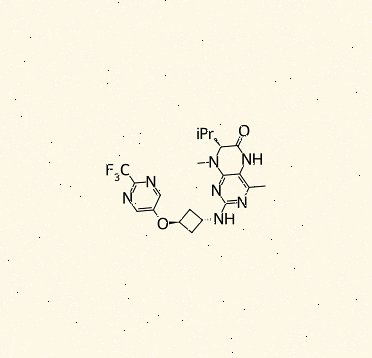 Cc1nc(N[C@H]2C[C@H](Oc3cnc(C(F)(F)F)nc3)C2)nc2c1NC(=O)[C@H](C(C)C)N2C